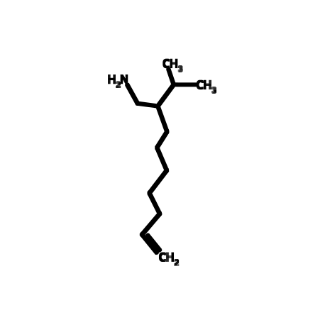 C=CCCCCCC(CN)C(C)C